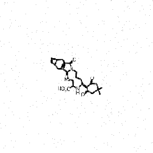 CC1(C)CC(=O)C(=C(CCCN2C(=O)C3C4C=CC(C5C=CC54)C3C2=O)NC(CS)C(=O)O)C(=O)C1